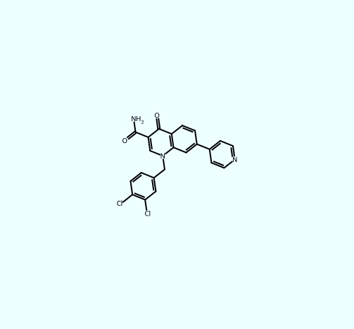 NC(=O)c1cn(Cc2ccc(Cl)c(Cl)c2)c2cc(-c3ccncc3)ccc2c1=O